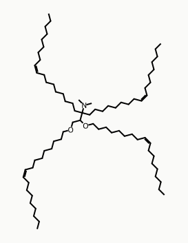 CCCCCCCC/C=C\CCCCCCCCOCC(OCCCCCCCC/C=C\CCCCCCCC)C(CCCCCCCC/C=C\CCCCCCCC)(CCCCCCCC/C=C\CCCCCCCC)N(C)C